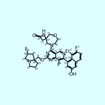 CCc1c(F)ccc2cc(O)cc(-c3ncc4c(N5CCOCC6(CC(=O)N6)C5)nc(OC[C@@]56CCCN5CC(F)C6)nc4c3F)c12